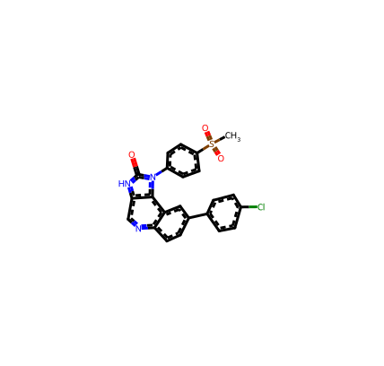 CS(=O)(=O)c1ccc(-n2c(=O)[nH]c3cnc4ccc(-c5ccc(Cl)cc5)cc4c32)cc1